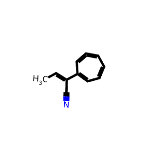 C/C=C(\C#N)C1=CC=CC=C=C1